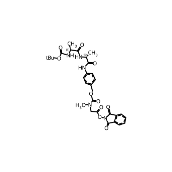 C[C@H](NC(=O)OC(C)(C)C)C(=O)N[C@@H](C)C(=O)Nc1ccc(COC(=O)N(C)CC(=O)ON2C(=O)c3ccccc3C2=O)cc1